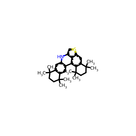 CC1(C)CCC(C)(C)c2cc3c(cc21)Nc1csc2cc4c(c-3c12)C(C)(C)CCC4(C)C